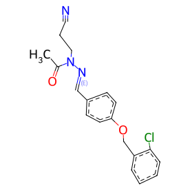 CC(=O)N(CCC#N)/N=C/c1ccc(OCc2ccccc2Cl)cc1